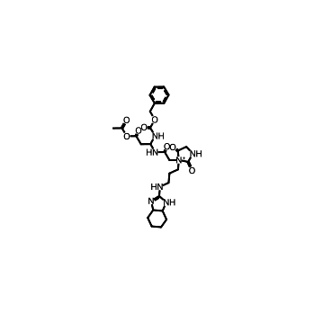 CC(=O)OC(=O)CC(NC(=O)C[N+]1(CCCNC2=NC3CCCCC3N2)C(=O)CNC1=O)NC(=O)OCc1ccccc1